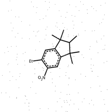 CCc1cc2c(cc1[N+](=O)[O-])C(C)(C)C(C)C2(C)C